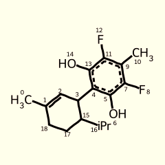 CC1=CC(c2c(O)c(F)c(C)c(F)c2O)C(C(C)C)CC1